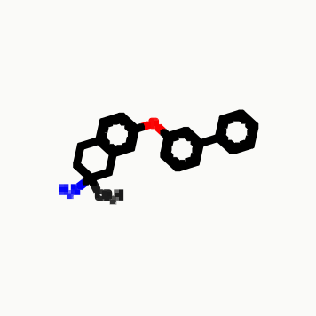 NC1(C(=O)O)CCc2ccc(Oc3cccc(-c4ccccc4)c3)cc2C1